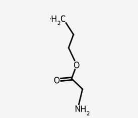 [CH2]CCOC(=O)CN